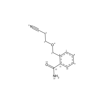 N#C[CH]COCc1ccccc1C(N)=O